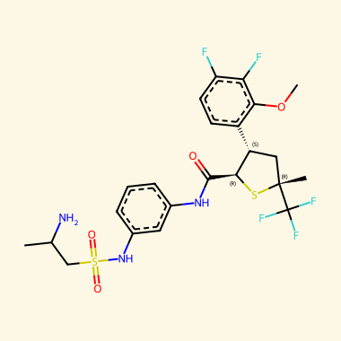 COc1c([C@@H]2C[C@](C)(C(F)(F)F)S[C@H]2C(=O)Nc2cccc(NS(=O)(=O)CC(C)N)c2)ccc(F)c1F